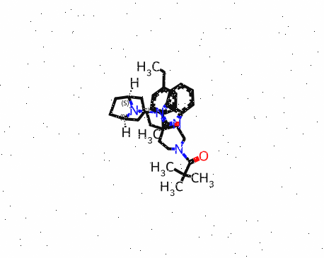 CCc1ccc(C2(CCN3[C@@H]4CC[C@H]3C[C@@H](n3c(C)nc5ccccc53)C4)CCN(C(=O)C(C)(C)C)CC2)cc1